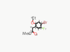 CCOc1cc(Br)c(F)cc1CC(=O)OC